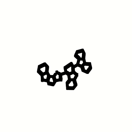 c1ccc2c(c1)oc1ccc3nc(-c4ccc(-n5c6ccccc6c6ccccc65)c5sc6ccccc6c45)sc3c12